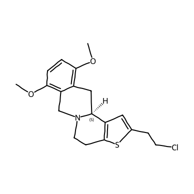 COc1ccc(OC)c2c1C[C@H]1c3cc(CCCl)sc3CCN1C2